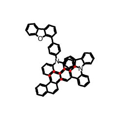 c1ccc(N(c2ccc(-c3cccc4c3oc3ccccc34)cc2)c2ccccc2-c2ccc3c(ccc4ccccc43)c2)c(-c2ccc(-c3ccccc3-n3c4ccccc4c4ccccc43)cc2)c1